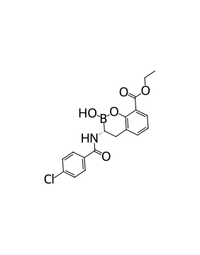 CCOC(=O)c1cccc2c1OB(O)[C@@H](NC(=O)c1ccc(Cl)cc1)C2